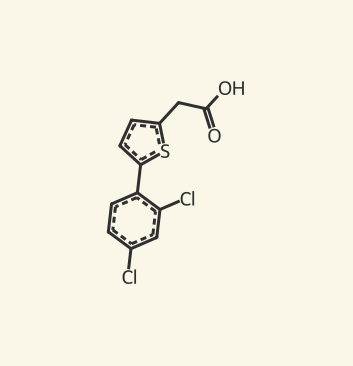 O=C(O)Cc1ccc(-c2ccc(Cl)cc2Cl)s1